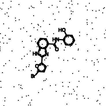 O=C(Nc1ccccc1O)c1cccc2[nH]c(-c3ccc(Br)o3)nc12